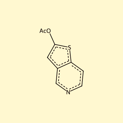 CC(=O)Oc1cc2cnccc2s1